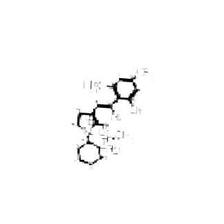 Cc1cc(C(F)(F)F)cc(O)c1-c1cc2c(nn1)N([C@@H]1CCCC[C@H]1S(C)(=O)=O)CC2